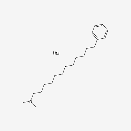 CN(C)CCCCCCCCCCCCc1ccccc1.Cl